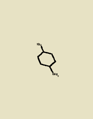 BC1CCC(C(C)(C)C)CC1